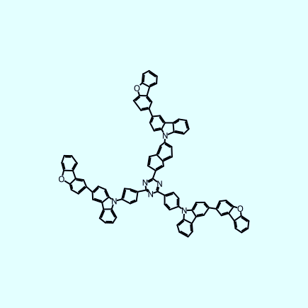 c1ccc2c(c1)oc1ccc(-c3ccc4c(c3)c3ccccc3n4-c3ccc(-c4nc(-c5ccc(-n6c7ccccc7c7cc(-c8ccc9oc%10ccccc%10c9c8)ccc76)cc5)nc(-c5ccc6cc(-n7c8ccccc8c8cc(-c9ccc%10oc%11ccccc%11c%10c9)ccc87)ccc6c5)n4)cc3)cc12